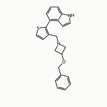 c1ccc(COC2CN(Cc3ccsc3-c3cccc4[nH]ccc34)C2)cc1